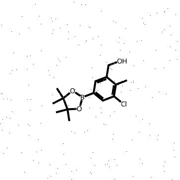 Cc1c(Cl)cc(B2OC(C)(C)C(C)(C)O2)cc1CO